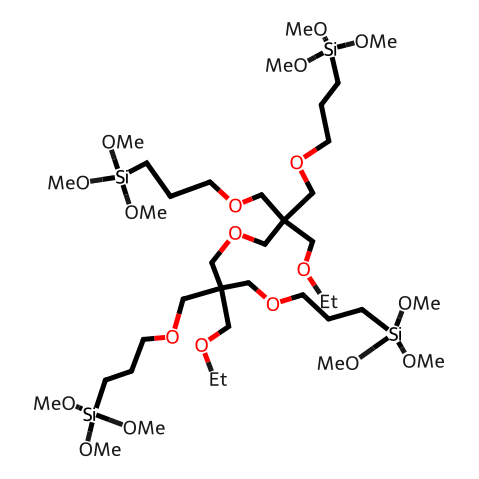 CCOCC(COCCC[Si](OC)(OC)OC)(COCCC[Si](OC)(OC)OC)COCC(COCC)(COCCC[Si](OC)(OC)OC)COCCC[Si](OC)(OC)OC